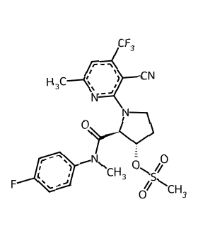 Cc1cc(C(F)(F)F)c(C#N)c(N2CC[C@H](OS(C)(=O)=O)[C@H]2C(=O)N(C)c2ccc(F)cc2)n1